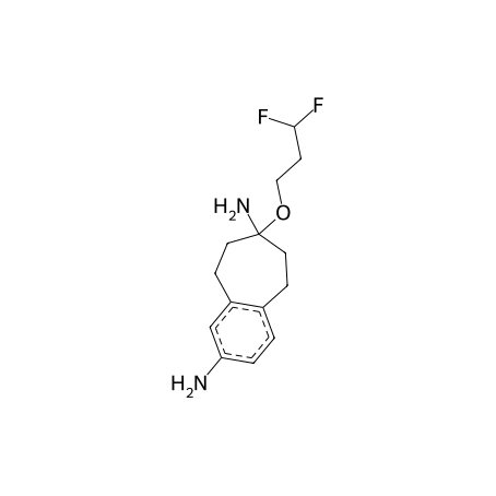 Nc1ccc2c(c1)CCC(N)(OCCC(F)F)CC2